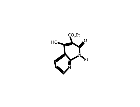 CCOC(=O)c1c(O)c2cccnc2n(CC)c1=O